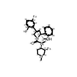 CN1CC[C@@H](N(C)C(=O)N2CC(c3cc(F)ccc3F)=C[C@@]2(CO)c2ccccc2)[C@@H](F)C1